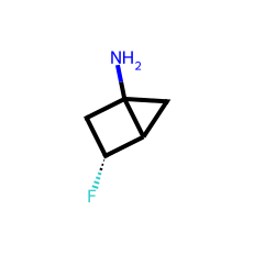 NC12CC1[C@H](F)C2